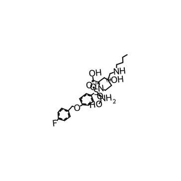 CCCCNC[C@]1(O)CCN(S(=O)(=O)c2ccc(OCc3ccc(F)cc3)cc2)[C@@H](C(=O)O)C1.NO